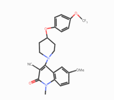 COc1ccc2c(c1)c(N1CCC(Oc3ccc(OC(F)(F)F)cc3)CC1)c(C#N)c(=O)n2C